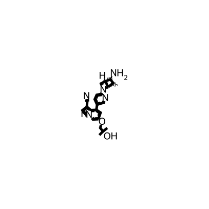 C[C@@H]1C2[C@@H](CN2c2ccc(-c3cc(OCC(C)(C)O)cn4ncc(C#N)c34)cn2)[C@H]1N